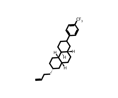 C=CCC[C@@H]1CC[C@H]2[C@H](CC[C@H]3CC(c4ccc(C(F)(F)F)cc4)CC[C@@H]32)C1